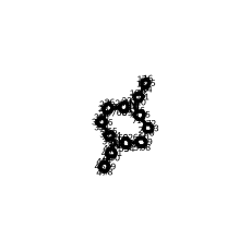 c1ccc(-c2ccc(N(c3ccc(-c4ccccc4)cc3)c3ccc(-c4cccc(-c5cccc(-c6ccc(N(c7ccc(-c8ccccc8)cc7)c7ccc(-c8ccccc8)cc7)cc6)c5)c4)cc3)cc2)cc1